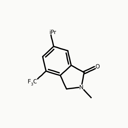 CC(C)c1cc2c(c(C(F)(F)F)c1)CN(C)C2=O